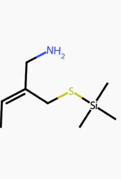 CC=C(CN)CS[Si](C)(C)C